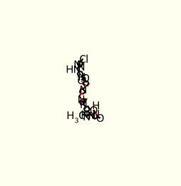 Cn1nc(N2CCC(=O)NC2=O)c2ccc(N3CCN(CC4CCN(c5cccc(S(=O)(=O)N6CCC(Nc7ncc(Cl)cn7)CC6)c5)CC4)C4CC43)cc21